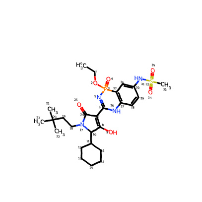 CCOP1(=O)N=C(C2=C(O)C(C3CCCCC3)N(CCC(C)(C)C)C2=O)Nc2ccc(NS(C)(=O)=O)cc21